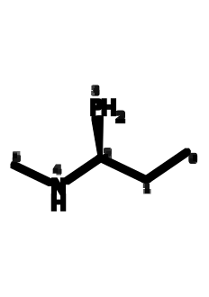 CC[C@H](P)NC